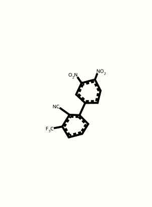 N#Cc1c(-c2ccc([N+](=O)[O-])c([N+](=O)[O-])c2)cccc1C(F)(F)F